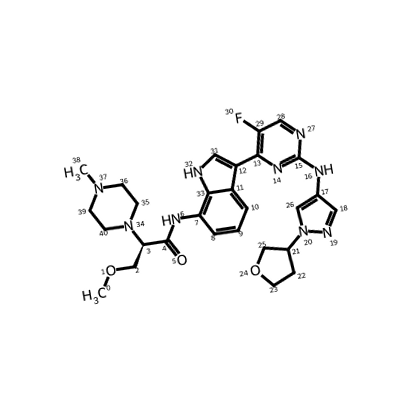 COC[C@H](C(=O)Nc1cccc2c(-c3nc(Nc4cnn(C5CCOC5)c4)ncc3F)c[nH]c12)N1CCN(C)CC1